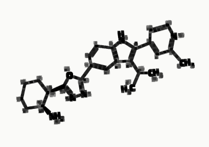 Cc1cc(-c2[nH]c3ccc(-c4nnc([C@@H]5CCCC[C@@H]5N)o4)cc3c2C(C)C)ccn1